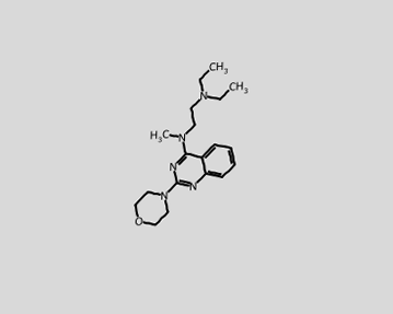 CCN(CC)CCN(C)c1nc(N2CCOCC2)nc2ccccc12